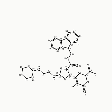 C=C(C)C1CC(=O)C(C)=C([C@@H]2C[C@@H](OCCOC3CCCCO3)CN2C(=O)OCC2c3ccccc3-c3ccccc32)C1